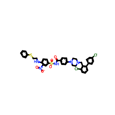 O=C(NS(=O)(=O)c1ccc(NCCSc2ccccc2)c([N+](=O)[O-])c1)c1ccc(N2CCN(Cc3c(Cl)cccc3-c3ccc(Cl)cc3)CC2)cc1